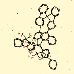 CC(CC(c1ccc(-c2ccc3c(c2)C2(c4ccccc4-3)c3ccccc3-c3ccc(-c4ccc(N(c5ccc(-c6ccccc6)cc5)c5ccc6c(c5)C(C)(C)c5ccccc5-6)c5ccccc45)cc32)cc1)C(C)C(C)(C)C)C(C)(C)C